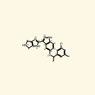 Cc1cc(F)cc(C(C)Oc2ccc3[nH]nc(-c4nc5c([nH]4)CNC5)c3c2)c1